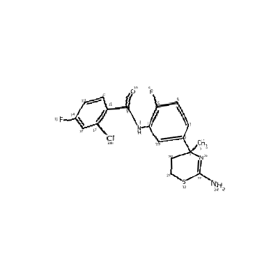 CC1(c2ccc(F)c(NC(=O)c3ccc(F)cc3Cl)c2)CCSC(N)=N1